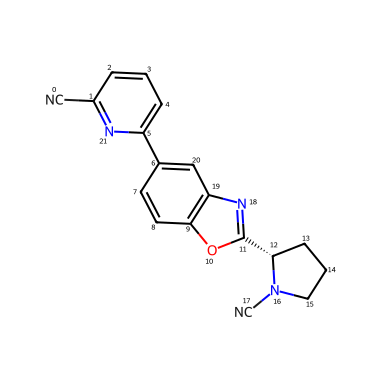 N#Cc1cccc(-c2ccc3oc([C@@H]4CCCN4C#N)nc3c2)n1